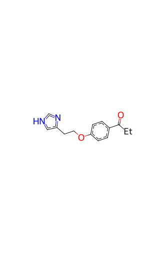 CCC(=O)c1ccc(OCCc2c[nH]cn2)cc1